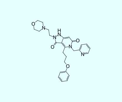 O=c1c2c(CCCOc3ccccc3)n(Cc3ccccn3)c(=O)cc2[nH]n1CCN1CCOCC1